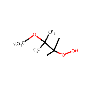 CC(C)(OO)C(OC(=O)O)(C(F)(F)F)C(F)(F)F